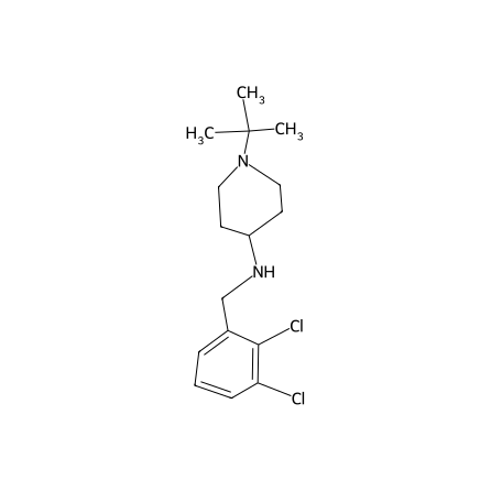 CC(C)(C)N1CCC(NCc2cccc(Cl)c2Cl)CC1